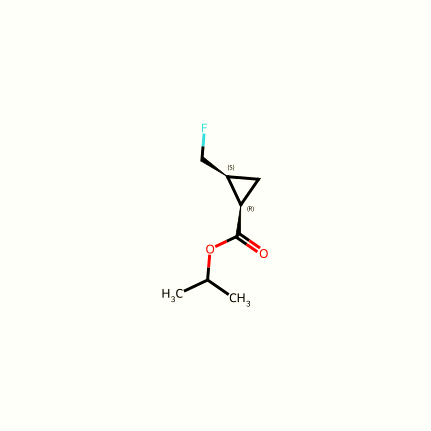 CC(C)OC(=O)[C@@H]1C[C@@H]1CF